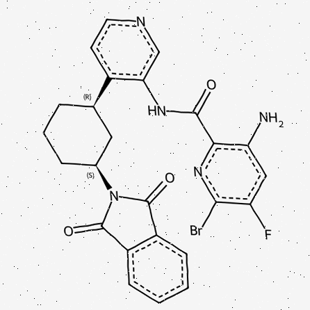 Nc1cc(F)c(Br)nc1C(=O)Nc1cnccc1[C@@H]1CCC[C@H](N2C(=O)c3ccccc3C2=O)C1